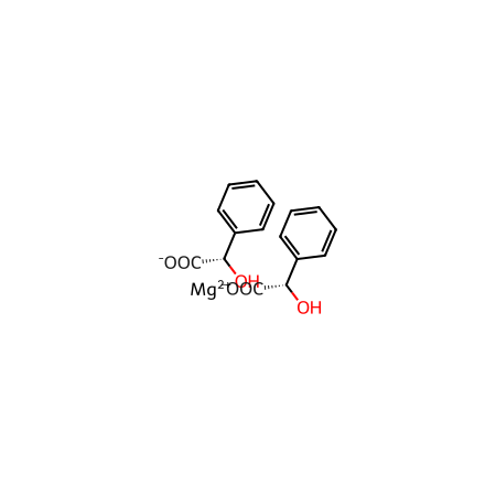 O=C([O-])[C@@H](O)c1ccccc1.O=C([O-])[C@@H](O)c1ccccc1.[Mg+2]